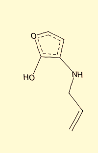 C=CCNc1ccoc1O